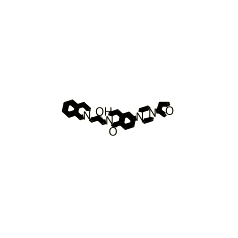 O=C1c2ccc(N3CCN(C4CCOC4)CC3)cc2CCN1C[C@H](O)CN1CCc2ccccc2C1